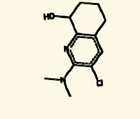 CN(C)c1nc2c(cc1Cl)CCCC2O